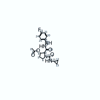 CC(=O)OC1CCN(C(=O)NC2CC2)C1C(=O)NNc1ccc(F)cc1